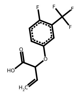 C=CC(Oc1ccc(F)c(C(F)(F)F)c1)C(=O)O